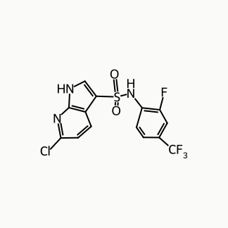 O=S(=O)(Nc1ccc(C(F)(F)F)cc1F)c1c[nH]c2nc(Cl)ccc12